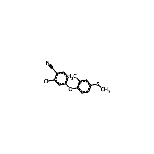 CSc1ccc(Oc2ccc(C#N)c(Cl)c2)c(C)c1